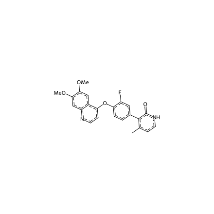 COc1cc2nccc(Oc3ccc(-c4c(C)cc[nH]c4=O)cc3F)c2cc1OC